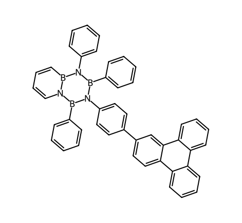 C1=CB2N(C=C1)B(c1ccccc1)N(c1ccc(-c3ccc4c5ccccc5c5ccccc5c4c3)cc1)B(c1ccccc1)N2c1ccccc1